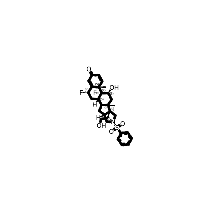 C[C@]12C=CC(=O)C=C1[C@@H](F)C[C@H]1C3C[C@H]4CN(S(=O)(=O)c5ccccc5)C[C@@]4(C(=O)CO)[C@@]3(C)C[C@H](O)[C@@]12F